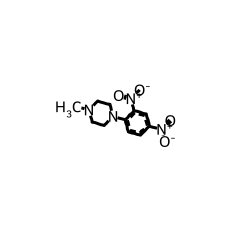 CN1CCN(c2ccc([N+](=O)[O-])cc2[N+](=O)[O-])CC1